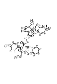 C=C(C)[C@@]1(O)[C@H](O)[C@@H](COP(=O)(N[C@@H](Cc2ccccc2)C(=O)OC(C)C)Oc2ccc(Cl)cc2)O[C@H]1n1ccc(=O)[nH]c1=O